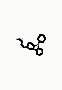 C/C=C\C=C/c1ccc2c(c1)c1ccccc1n2-c1ccccc1